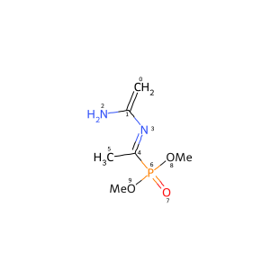 C=C(N)/N=C(\C)P(=O)(OC)OC